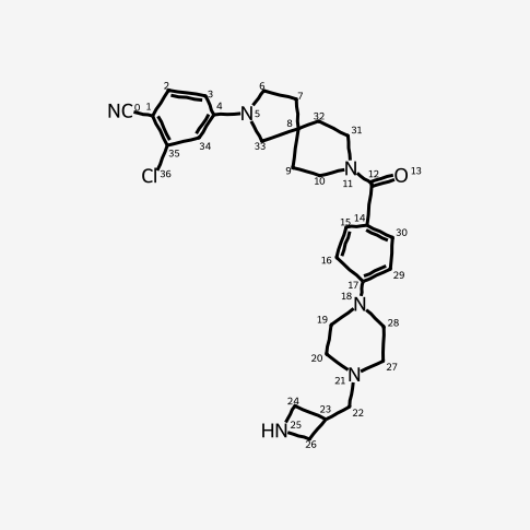 N#Cc1ccc(N2CCC3(CCN(C(=O)c4ccc(N5CCN(CC6CNC6)CC5)cc4)CC3)C2)cc1Cl